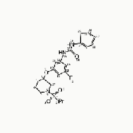 CC(C)S(=O)(=O)N1CCCC(Oc2cc(F)cc(NC(=O)Nc3cccnc3)c2)C1